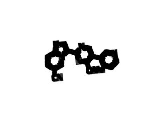 COc1nc(-c2cnc3ccc(C#N)cn23)ncc1-c1cccnc1